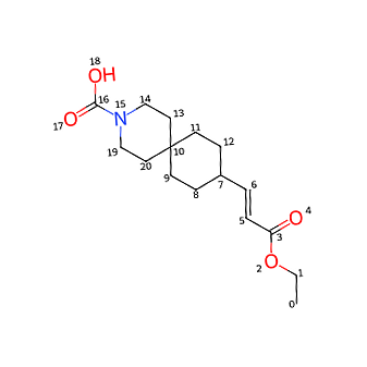 CCOC(=O)/C=C/C1CCC2(CC1)CCN(C(=O)O)CC2